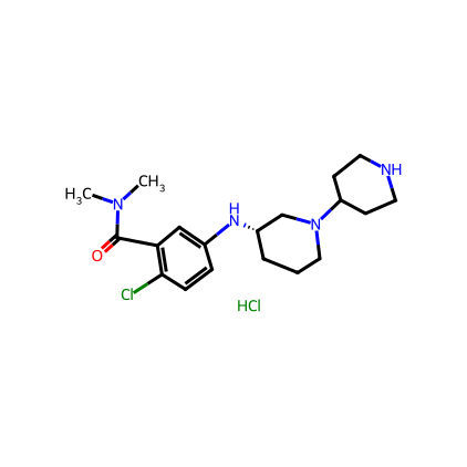 CN(C)C(=O)c1cc(N[C@H]2CCCN(C3CCNCC3)C2)ccc1Cl.Cl